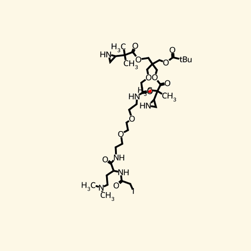 CN(C)CCC(NC(=O)CI)C(=O)NCCOCCOCCNC(=O)COCC(COC(=O)C(C)(C)C)(COC(=O)C(C)(C)C1CN1)COC(=O)C(C)(C)C1CN1